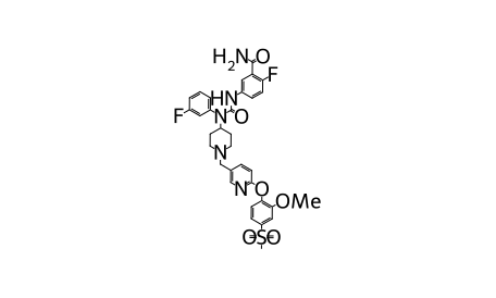 COc1cc(S(C)(=O)=O)ccc1Oc1ccc(CN2CCC(N(C(=O)Nc3ccc(F)c(C(N)=O)c3)c3cccc(F)c3)CC2)cn1